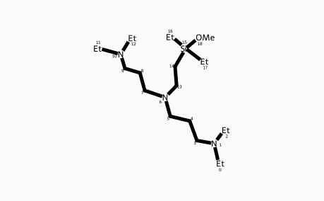 CCN(CC)CCCN(CCCN(CC)CC)CC[Si](CC)(CC)OC